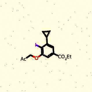 CCOC(=O)c1cc(OCC(C)=O)c(I)c(C2CC2)c1